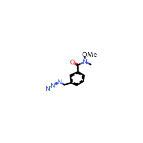 CON(C)C(=O)c1cccc(CN=[N+]=[N-])c1